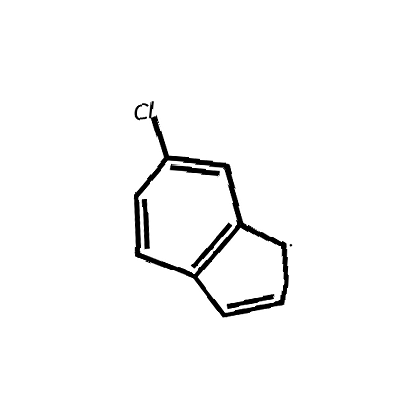 Clc1ccc2c(c1)[CH]C=C2